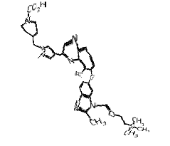 Cc1nc2ccc(Oc3ccc4ncc(-c5cnn(CC6CCN(C(=O)O)CC6)c5)nc4c3C#N)cc2n1COCC[Si](C)(C)C